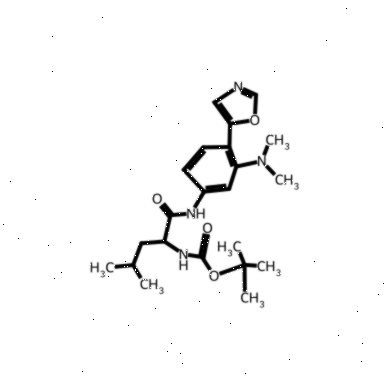 CC(C)CC(NC(=O)OC(C)(C)C)C(=O)Nc1ccc(-c2cnco2)c(N(C)C)c1